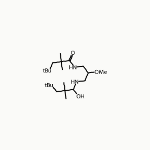 COC(CNC(=O)C(C)(C)CC(C)(C)C)CNC(O)C(C)(C)CC(C)(C)C